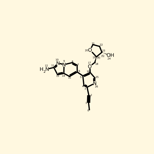 CC#Cc1cc(-c2ccn3nc(N)cc3c2)c(OC[C@H]2OCC[C@@H]2O)cn1